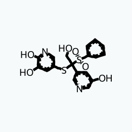 O=S(=O)(c1ccccc1)C(CO)(Sc1cnc(O)c(O)c1)c1cncc(O)c1